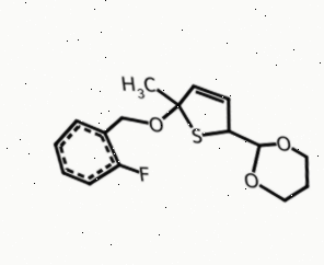 CC1(OCc2ccccc2F)C=CC(C2OCCCO2)S1